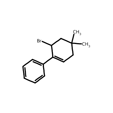 CC1(C)CC=C(c2ccccc2)C(Br)C1